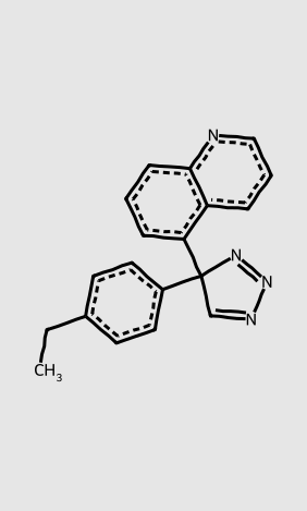 CCc1ccc(C2(c3cccc4ncccc34)C=NN=N2)cc1